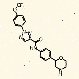 O=C(Nc1ccc(C2CNCCO2)cc1)c1cnn(-c2ccc(OC(F)(F)F)cc2)n1